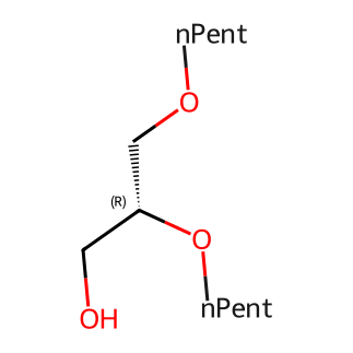 CCCCCOC[C@@H](CO)OCCCCC